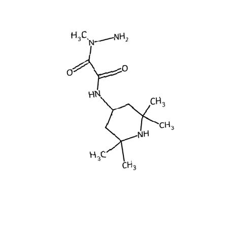 CN(N)C(=O)C(=O)NC1CC(C)(C)NC(C)(C)C1